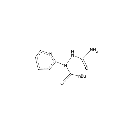 CCCCC(=O)N(NC(N)=O)c1ccccn1